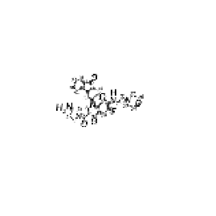 N[C@H]1CCN(C(=O)c2cn3c4cc5c(cc4oc4c(NCCN6CCOCC6)c(F)cc(c2=O)c43)c(=O)c2ccccc25)C1